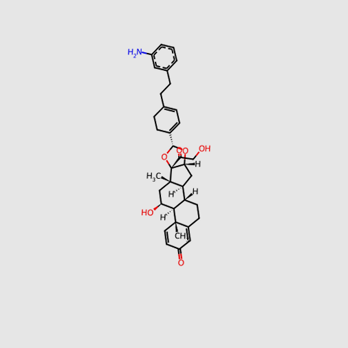 C[C@]12C=CC(=O)C=C1CC[C@@H]1[C@@H]2[C@@H](O)C[C@@]2(C)[C@H]1C[C@H]1O[C@@H](C3=CC=C(CCc4cccc(N)c4)CC3)O[C@]12C(=O)CO